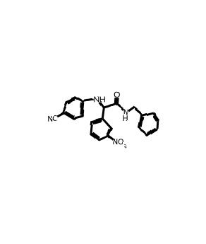 N#Cc1ccc(NC(C(=O)NCc2ccccc2)c2cccc([N+](=O)[O-])c2)cc1